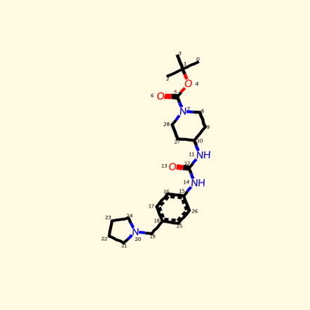 CC(C)(C)OC(=O)N1CCC(NC(=O)Nc2ccc(CN3CCCC3)cc2)CC1